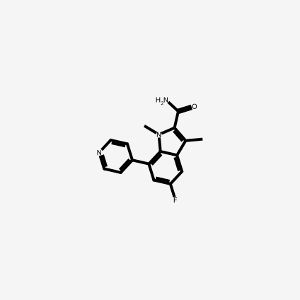 Cc1c(C(N)=O)n(C)c2c(-c3ccncc3)cc(F)cc12